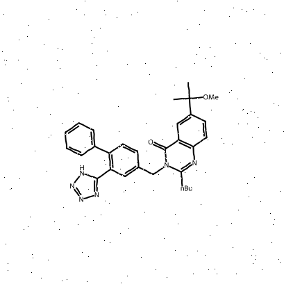 CCCCc1nc2ccc(C(C)(C)OC)cc2c(=O)n1Cc1ccc(-c2ccccc2)c(-c2nnn[nH]2)c1